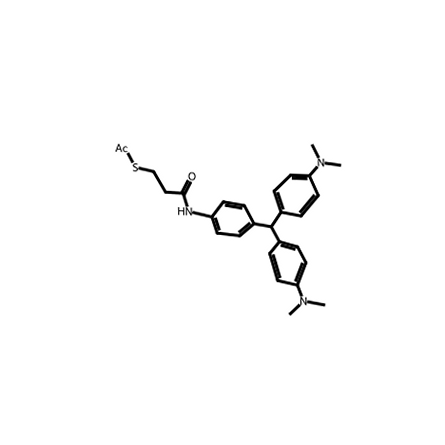 CC(=O)SCCC(=O)Nc1ccc(C(c2ccc(N(C)C)cc2)c2ccc(N(C)C)cc2)cc1